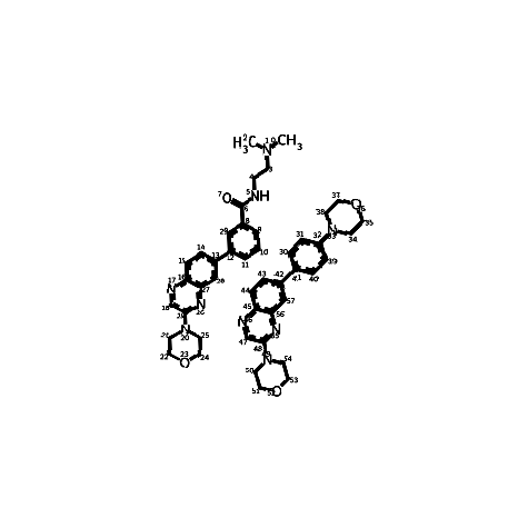 CN(C)CCNC(=O)c1cccc(-c2ccc3ncc(N4CCOCC4)nc3c2)c1.c1cc(N2CCOCC2)ccc1-c1ccc2ncc(N3CCOCC3)nc2c1